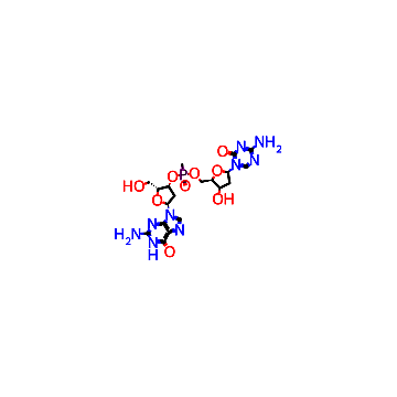 CP(=O)(OC[C@H]1O[C@@H](n2cnc(N)nc2=O)C[C@H]1O)O[C@@H]1C[C@H](n2cnc3c(=O)[nH]c(N)nc32)O[C@@H]1CO